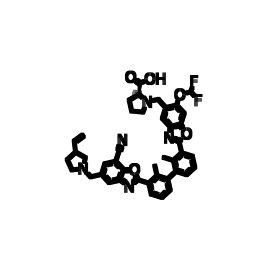 C=CC1CCN(Cc2cc(C#N)c3oc(-c4cccc(-c5cccc(-c6nc7cc(CN8CCC[C@H]8C(=O)O)c(OC(F)F)cc7o6)c5C)c4C)nc3c2)C1